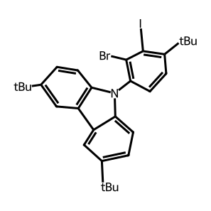 CC(C)(C)c1ccc2c(c1)c1cc(C(C)(C)C)ccc1n2-c1ccc(C(C)(C)C)c(I)c1Br